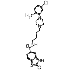 Cc1ccc(Cl)cc1N1CCN(CCCCNC(=O)c2ccc3sc(=O)[nH]c3c2)CC1